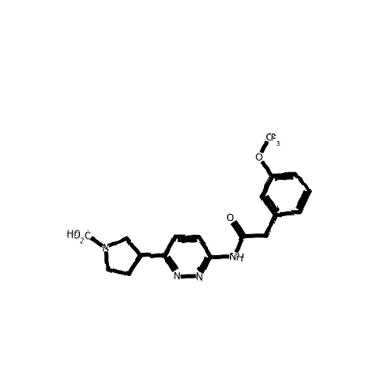 O=C(Cc1cccc(OC(F)(F)F)c1)Nc1ccc(C2CCN(C(=O)O)C2)nn1